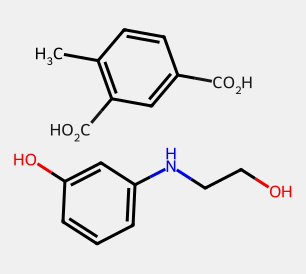 Cc1ccc(C(=O)O)cc1C(=O)O.OCCNc1cccc(O)c1